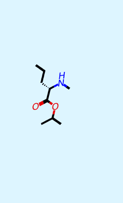 CCC[C@H](NC)C(=O)OC(C)C